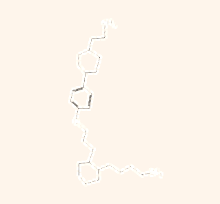 CCCCCC1CCCCC1CCCOc1ccc(C2CCC(CCC)CC2)cc1